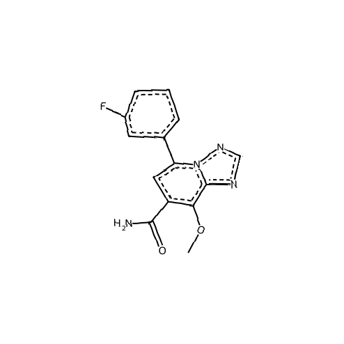 COc1c(C(N)=O)cc(-c2cccc(F)c2)n2n[c]nc12